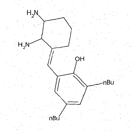 CCCCc1cc(C=C2CCCC(N)C2N)c(O)c(CCCC)c1